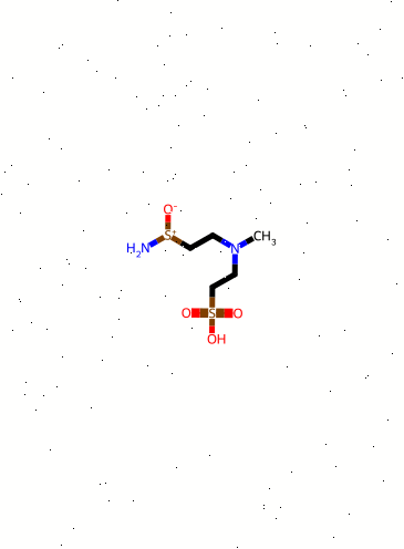 CN(CC[S+](N)[O-])CCS(=O)(=O)O